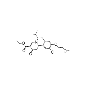 CCOC(=O)C1=CN2C(CC1=O)c1cc(Cl)c(OCCOC)cc1CC2C(C)C